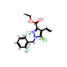 C=Cc1c(C(=O)OCC)nn(Cc2c(F)cccc2F)c1Cl